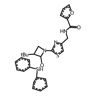 CC(C)(C)C1CN(c2nc(CNC(=O)c3ccco3)cs2)C1O[SiH](c1ccccc1)c1ccccc1